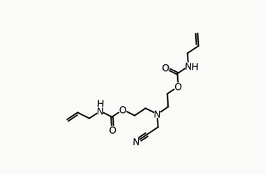 C=CCNC(=O)OCCN(CC#N)CCOC(=O)NCC=C